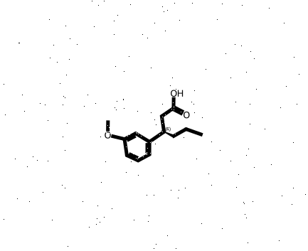 CCC[C@H](CC(=O)O)c1cccc(OC)c1